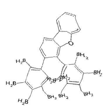 Bc1c(B)c(B)c(-c2ccc3c(oc4ccccc43)c2-c2c(B)c(B)c(B)c(B)c2B)c(B)c1B